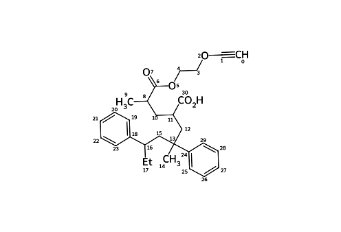 C#COCCOC(=O)C(C)CC(CC(C)(CC(CC)c1ccccc1)c1ccccc1)C(=O)O